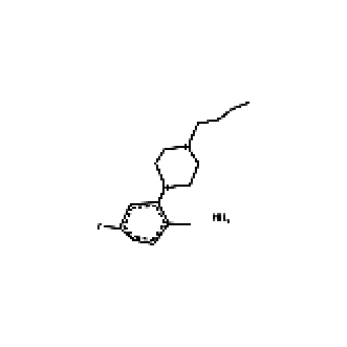 CCCCN1CCN(c2cc(Cl)ccc2C)CC1.N